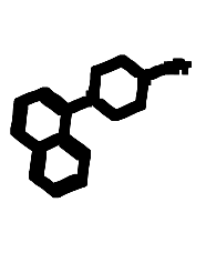 C[CH]CN1CCN(c2cccc3ccccc23)CC1